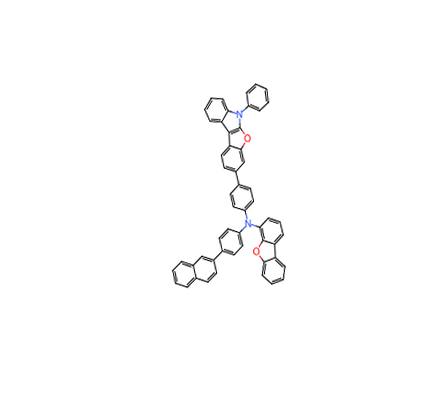 c1ccc(-n2c3ccccc3c3c4ccc(-c5ccc(N(c6ccc(-c7ccc8ccccc8c7)cc6)c6cccc7c6oc6ccccc67)cc5)cc4oc32)cc1